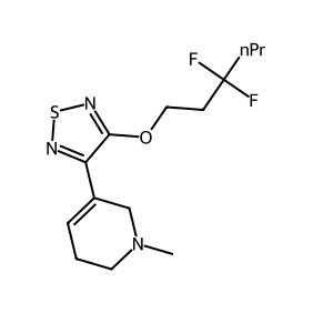 CCCC(F)(F)CCOc1nsnc1C1=CCCN(C)C1